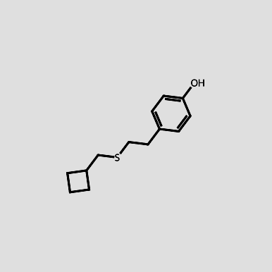 Oc1ccc(CCSCC2CCC2)cc1